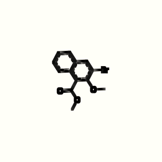 COC(=O)c1c(OC)c(Br)cc2ccccc12